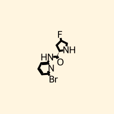 O=C(Nc1cccc(Br)n1)[C@@H]1CC(F)CN1